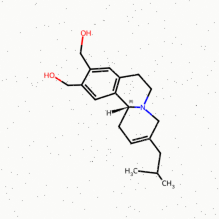 CC(C)CC1=CC[C@@H]2c3cc(CO)c(CO)cc3CCN2C1